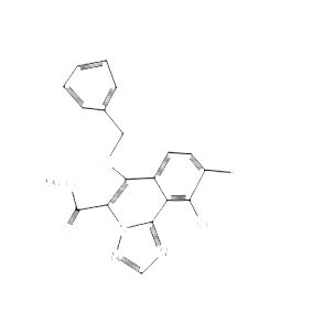 COC(=O)c1c(OCc2ccccc2)c2ccc(Cl)c(Cl)c2c2ncnn12